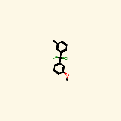 [CH2]c1cccc(C(Cl)(Cl)c2cccc(OC)c2)c1